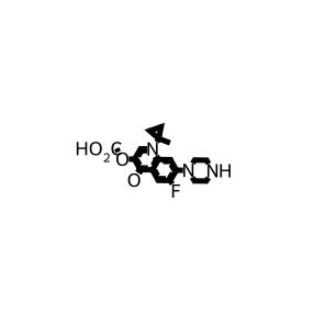 CC1(n2cc(OC(=O)O)c(=O)c3cc(F)c(N4CCNCC4)cc32)CC1